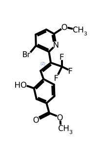 COC(=O)c1ccc(/C=C(/c2nc(OC)ccc2Br)C(F)(F)F)c(O)c1